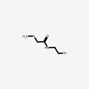 [2H]CCNC(=O)CSC